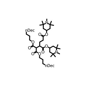 CCCCCCCCCCCCCOC(=O)C(C(=O)OCCCCCCCCCCCCC)C(CCC(=O)OC1CC(C)(C)N(C)C(C)(C)C1)C(=O)OC1CC(C)(C)N(C)C(C)(C)C1